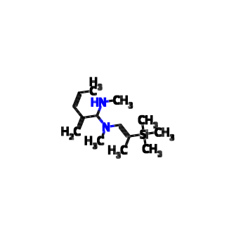 C=C(/C=C\C)C(NC)N(C)/C=C(\C)[Si](C)(C)C